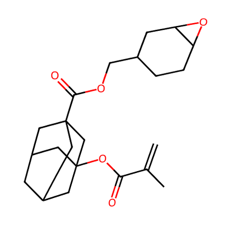 C=C(C)C(=O)OC12CC3CC(C1)CC(C(=O)OCC1CCC4OC4C1)(C3)C2